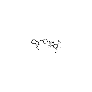 CCn1cc(CN2CCC(NC(=O)c3cc(OC)c(C)c(OC)c3)CC2)c2ccccc21